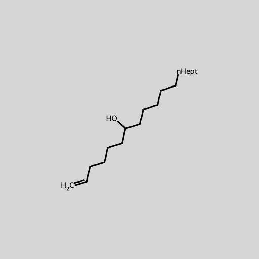 C=CCCCCC(O)CCCCCCCCCCCC